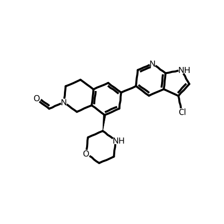 O=CN1CCc2cc(-c3cnc4[nH]cc(Cl)c4c3)cc([C@@H]3COCCN3)c2C1